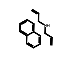 C=CCNCC=C.c1ccc2ccccc2c1